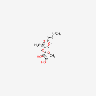 CCCCC1OCC(O[C@H](OC)[C@H](O)CO)[C@H](C)O1